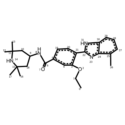 CCOc1cc(C(=O)NC2CC(C)(C)NC(C)(C)C2)ccc1-c1nc2c(C)cccc2[nH]1